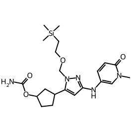 Cn1cc(Nc2cc(C3CCC(OC(N)=O)C3)n(COCC[Si](C)(C)C)n2)ccc1=O